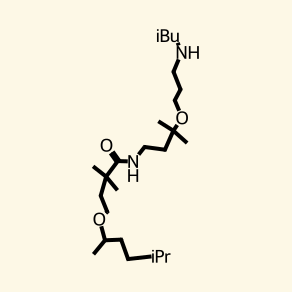 CCC(C)NCCCOC(C)(C)CCNC(=O)C(C)(C)CCOC(C)CCC(C)C